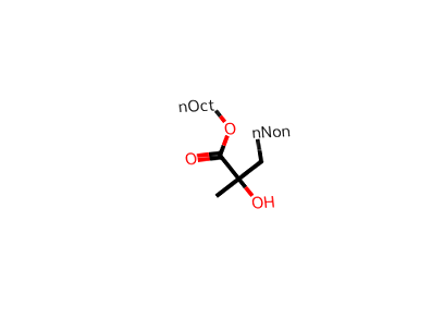 CCCCCCCCCCC(C)(O)C(=O)OCCCCCCCC